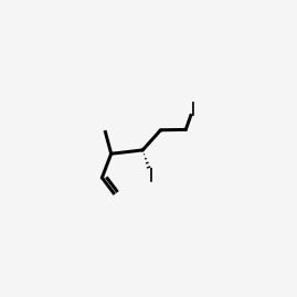 C=CC(C)[C@@H](I)CCI